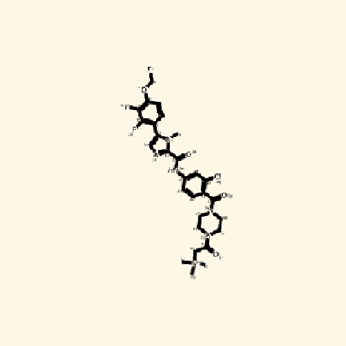 Cn1c(-c2ccc(OCF)c(F)c2F)cnc1C(=O)Nc1ccc(C(=O)N2CCN(C(=O)C[N+](C)(C)C)CC2)c(Cl)c1